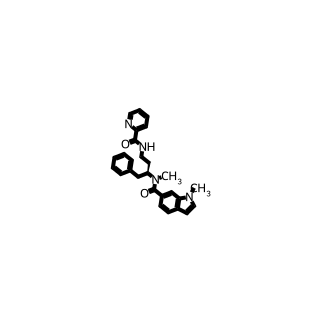 CN(C(=O)c1ccc2ccn(C)c2c1)[C@H](CCNC(=O)c1ccccn1)Cc1ccccc1